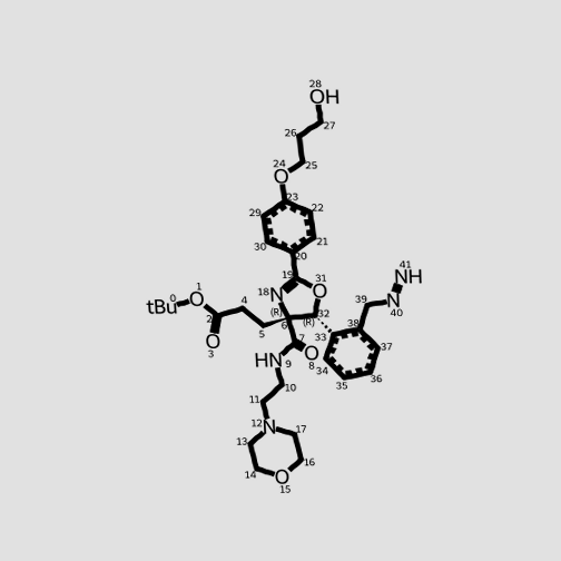 CC(C)(C)OC(=O)CC[C@@]1(C(=O)NCCN2CCOCC2)N=C(c2ccc(OCCCO)cc2)O[C@@H]1c1ccccc1CN=N